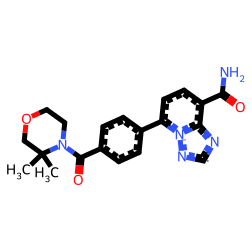 CC1(C)COCCN1C(=O)c1ccc(-c2ccc(C(N)=O)c3n[c]nn23)cc1